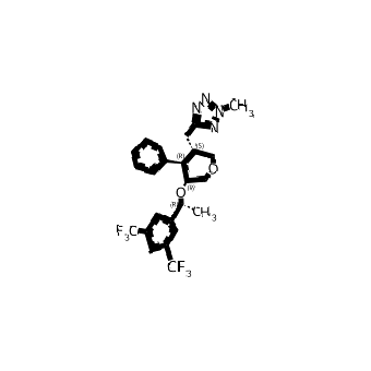 C[C@@H](O[C@H]1COC[C@@H](Cc2nnn(C)n2)[C@@H]1c1ccccc1)c1cc(C(F)(F)F)cc(C(F)(F)F)c1